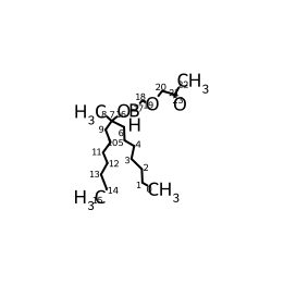 CCCCCCCC(C)(CCCCCCC)OBCOCC(C)=O